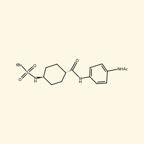 CC(=O)Nc1ccc(NC(=O)[C@H]2CC[C@H](NS(=O)(=O)C(C)(C)C)CC2)cc1